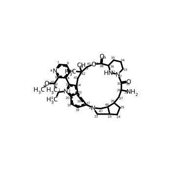 CCn1c(-c2cccnc2[C@H](C)OC)c2c3cc(ccc31)N1CC3CCC(CC(N)C(=O)N4CCCC(N4)C(=O)OCC(C)(C)C2)C3C1